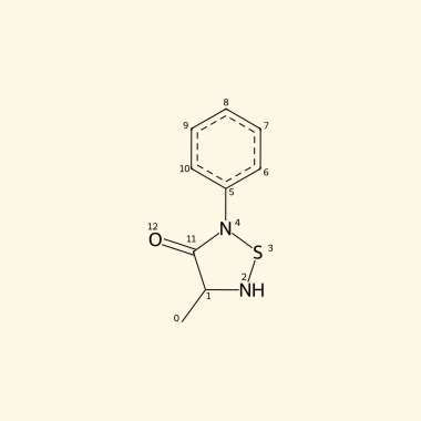 CC1NSN(c2ccccc2)C1=O